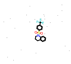 O=S(=O)(c1ccc(C(F)(F)F)cc1)N1CCCc2ccccc21